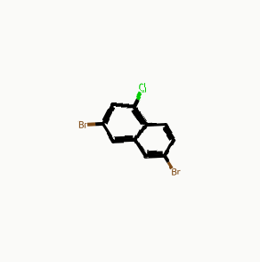 Clc1cc(Br)cc2cc(Br)ccc12